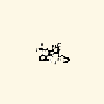 N[C@@H]1CCCC[C@H]1c1sc2c(NCc3cccs3)cc(Cl)nc2c1COC(F)F